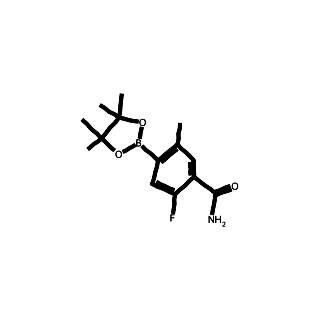 Cc1cc(C(N)=O)c(F)cc1B1OC(C)(C)C(C)(C)O1